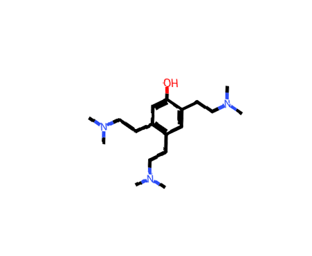 CN(C)CCc1cc(CCN(C)C)c(CCN(C)C)cc1O